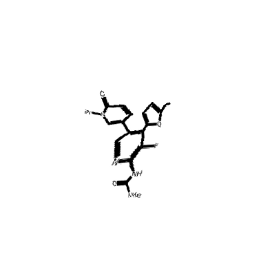 CNC(=O)Nc1ncc(-c2ccc(=O)n(C(C)C)c2)c(-c2ccc(C)o2)c1F